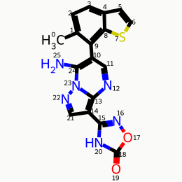 Cc1ccc2ccsc2c1-c1cnc2c(-c3noc(=O)[nH]3)cnn2c1N